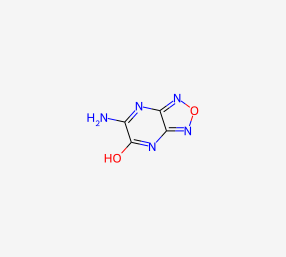 Nc1nc2nonc2nc1O